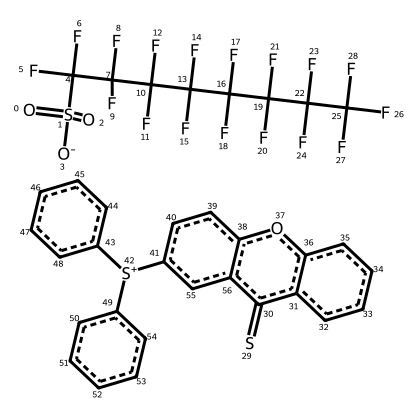 O=S(=O)([O-])C(F)(F)C(F)(F)C(F)(F)C(F)(F)C(F)(F)C(F)(F)C(F)(F)C(F)(F)F.S=c1c2ccccc2oc2ccc([S+](c3ccccc3)c3ccccc3)cc12